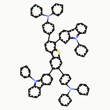 c1ccc(N(c2ccccc2)c2ccc(-c3cc4sc5c(-c6ccc7c8ccccc8n(-c8ccccc8)c7c6)c(-c6ccc(N(c7ccccc7)c7ccccc7)cc6)ccc5c4cc3-c3ccc4c5ccccc5n(-c5ccccc5)c4c3)cc2)cc1